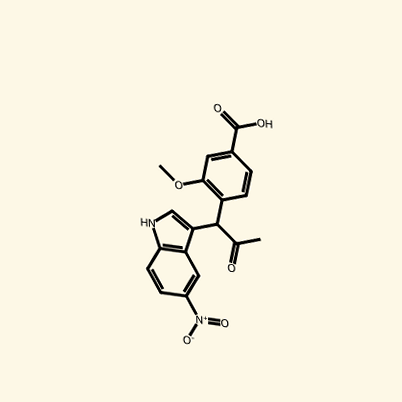 COc1cc(C(=O)O)ccc1C(C(C)=O)c1c[nH]c2ccc([N+](=O)[O-])cc12